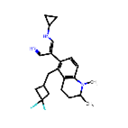 CC1CCc2c(ccc(/C(C=N)=C/NC3CC3)c2CC2CC(F)(F)C2)N1C